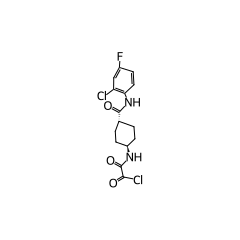 O=C(Cl)C(=O)N[C@H]1CC[C@H](C(=O)Nc2ccc(F)cc2Cl)CC1